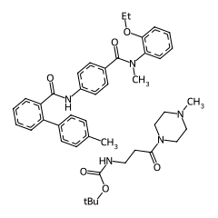 CCOc1ccccc1N(C)C(=O)c1ccc(NC(=O)c2ccccc2-c2ccc(C)cc2)cc1.CN1CCN(C(=O)CCNC(=O)OC(C)(C)C)CC1